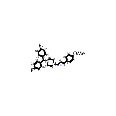 COc1ccc(/C=C/CN2CCN(C(c3ccc(F)cc3)c3ccc(F)cc3)CC2)cc1